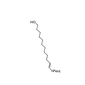 CCCCCC=CCCCCCCCCCCO